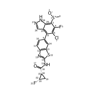 C[S+]([O-])c1c(F)c(Cl)c(-c2ccc3nc(NC(=O)[C@@H]4C[C@@H]4F)sc3c2)c2cn[nH]c12